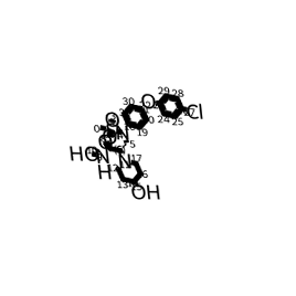 CS(=O)(=O)N(C[C@@H](C(=O)NO)N1CCC(O)CC1)c1ccc(Oc2ccc(Cl)cc2)cc1